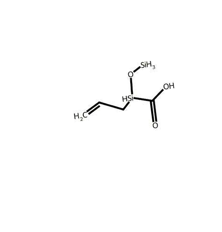 C=CC[SiH](O[SiH3])C(=O)O